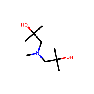 CN(CC(C)(C)O)CC(C)(C)O